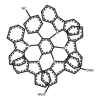 COc1ccc2c(c1)c1cc(OC)ccc1n2-c1c(-n2c3ccccc3c3ccccc32)c(-n2c3ccccc3c3ccccc32)c(-c2ccc(C#N)cc2)c(-n2c3ccccc3c3ccccc32)c1-n1c2ccccc2c2ccccc21